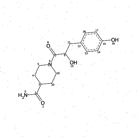 NC(=O)C1CCN(C(=O)C(O)Cc2ccc(O)cc2)CC1